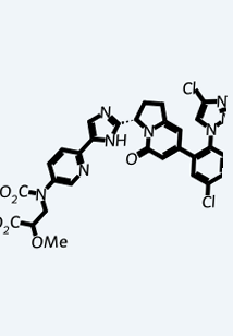 COC(CN(C(=O)O)c1ccc(-c2cnc([C@@H]3CCc4cc(-c5cc(Cl)ccc5-n5cc(Cl)nn5)cc(=O)n43)[nH]2)nc1)C(=O)O